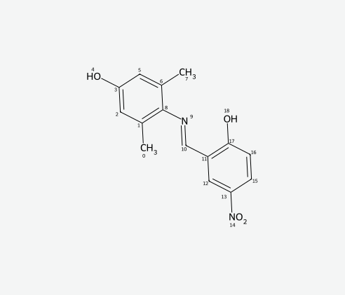 Cc1cc(O)cc(C)c1N=Cc1cc([N+](=O)[O-])ccc1O